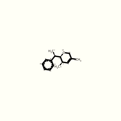 CC1=C[C@@H](C)[C@@H]([C@H](C)c2ccccc2)OC1